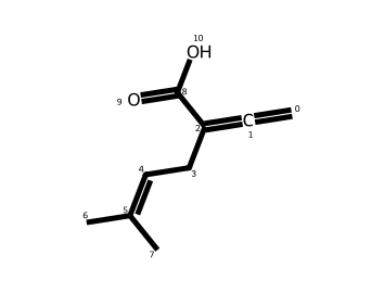 C=C=C(CC=C(C)C)C(=O)O